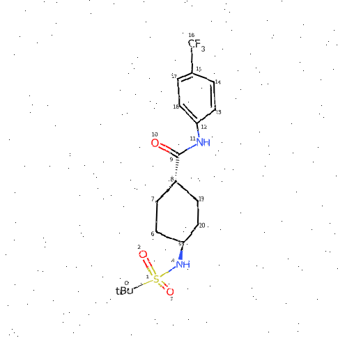 CC(C)(C)S(=O)(=O)N[C@H]1CC[C@H](C(=O)Nc2ccc(C(F)(F)F)cc2)CC1